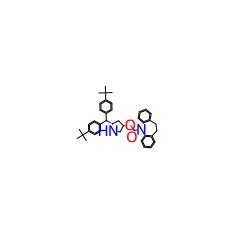 CC(C)(C)c1ccc(C(c2ccc(C(C)(C)C)cc2)[C@H]2C[C@@H](OC(=O)N3c4ccccc4CCc4ccccc43)CN2)cc1